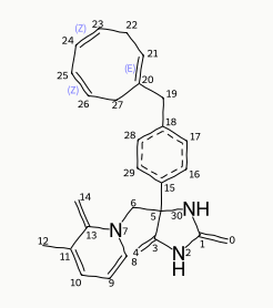 C=C1NC(=C)C(CN2C=CC=C(C)C2=C)(c2ccc(C/C3=C/C/C=C\C=C/C3)cc2)N1